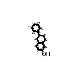 Oc1ccc2c(c1)CCC(c1ccccc1)C2